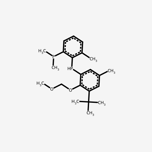 COCOc1c(Pc2c(C)cccc2P(C)C)cc(C)cc1C(C)(C)C